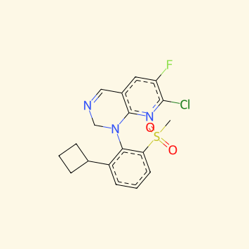 CS(=O)(=O)c1cccc(C2CCC2)c1N1CN=Cc2cc(F)c(Cl)nc21